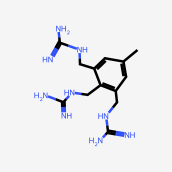 Cc1cc(CNC(=N)N)c(CNC(=N)N)c(CNC(=N)N)c1